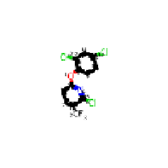 FC(F)(F)c1ccc(Oc2ccc(Cl)cc2Cl)nc1Cl